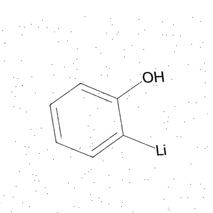 [Li][c]1ccccc1O